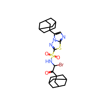 O=C(C(Br)NS(=O)(=O)c1nn2c(C34CC5CC(CC(C5)C3)C4)cnc2s1)C12CC3CC(CC(C3)C1)C2